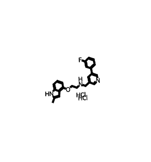 Cc1cc2c(OCCNCc3cncc(-c4cccc(F)c4)c3)cccc2[nH]1.Cl.Cl